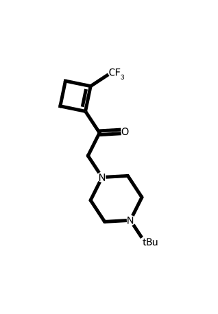 CC(C)(C)N1CCN(CC(=O)C2=C(C(F)(F)F)CC2)CC1